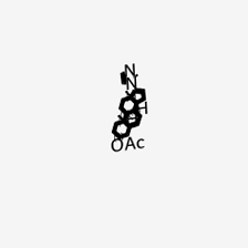 CC(=O)O[C@H]1CC[C@@]2(C)C(=CC[C@H]3C4CC=C(n5ccnc5)[C@@]4(C)CC[C@@H]32)C1